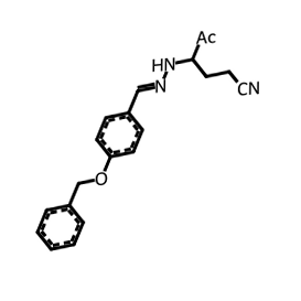 CC(=O)C(CCC#N)NN=Cc1ccc(OCc2ccccc2)cc1